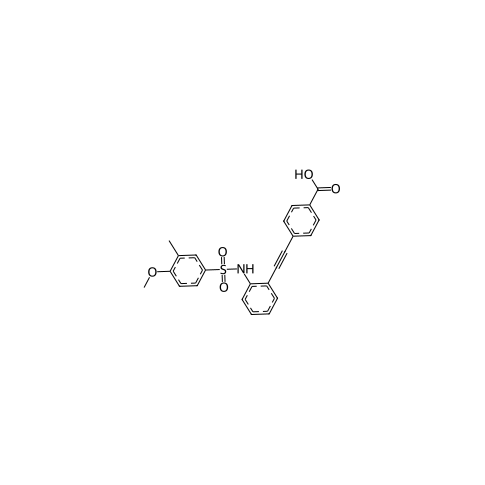 COc1ccc(S(=O)(=O)Nc2ccccc2C#Cc2ccc(C(=O)O)cc2)cc1C